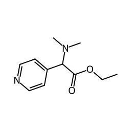 CCOC(=O)C(c1ccncc1)N(C)C